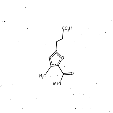 CNC(=O)c1oc(CCC(=O)O)cc1C